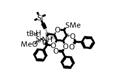 CO[Si@H](N[C@H](C#C[Si](C)(C)C)[C@H]1OC(SC)[C@H](OC(=O)c2ccccc2)C(OC(=O)c2ccccc2)C1OC(=O)c1ccccc1)C(C)(C)C